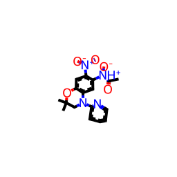 CC(=O)[NH+]([O-])c1cc2c(cc1[N+](=O)[O-])OC(C)(C)CN2c1ccccn1